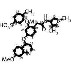 COc1ccc2c(Oc3ccc(CC(=O)Nc4cn(C)nc4C)c(OC)c3)ccnc2c1.Cc1ccc(S(=O)(=O)O)cc1